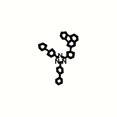 c1ccc(-c2ccc(-c3nc(-c4ccc(-c5ccccc5)cc4)nc(-c4cccc(-c5cc6c7c(cccc7c5)-c5ccccc5-6)c4)n3)cc2)cc1